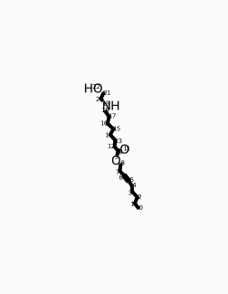 CCCCCC#CCCOC(=O)CCCCCCCNCCO